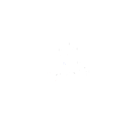 CC(C)(C)OC(=O)N1C[C@@H](CC(C)(C)[Si](C)(C)O)[C@H](c2cccc(-c3ccccc3)c2)[C@@H](C(=O)O)C1